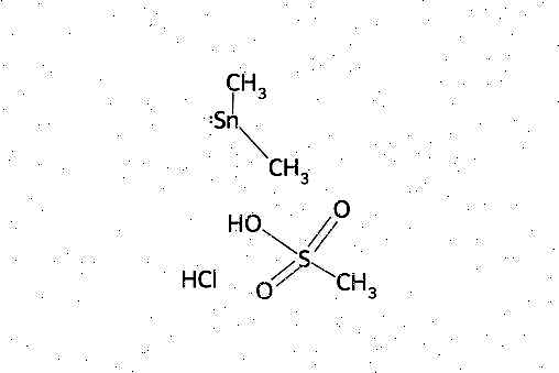 CS(=O)(=O)O.Cl.[CH3][Sn][CH3]